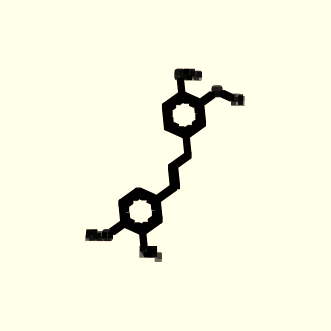 CCOc1cc(CC=Cc2ccc(OC)c(N)c2)ccc1OC